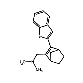 CN(C)CC1=C(c2cc3ccccc3s2)C2CCC1C2